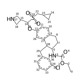 CCOC(=O)NC1CCc2ccc(OC(C3CNC3)S(=O)(=O)CC3CC3)cc2C1Cc1cccc(Cl)c1